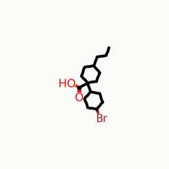 CCCC1CCC(C(=O)O)(C2CCC(Br)CC2)CC1